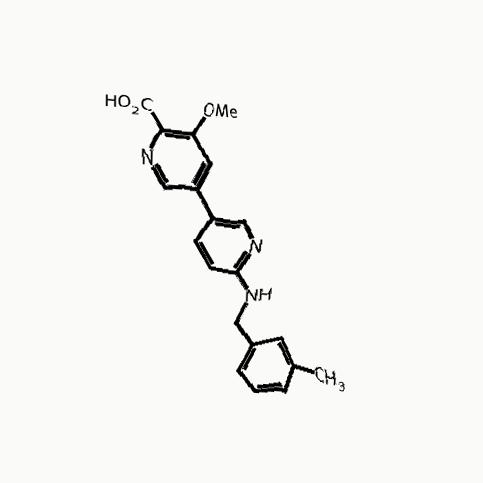 COc1cc(-c2ccc(NCc3cccc(C)c3)nc2)cnc1C(=O)O